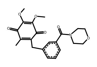 COC1=C(OC)C(=O)C(Cc2cccc(C(=O)N3CCOCC3)c2)=C(C)C1=O